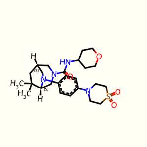 CC1(C)C[C@@H]2CN(C(=O)NC3CCOCC3)C[C@H]1N(c1ccc(N3CCS(=O)(=O)CC3)cc1)C2